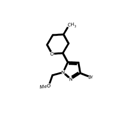 COCn1nc(Br)cc1C1CC(C)CCO1